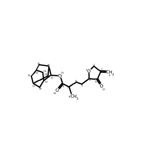 C=C1COC(CCC(C)C(=O)OC2C3CC4CC(C3)CC2C4)C1=O